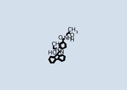 CCn1c(C2(O)c3ccccc3-c3ccccc32)nc2ccc(C(=O)NCC(C)O)cc21